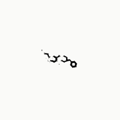 COC(=O)C(=O)c1nnc2cc(OC)c(C(=O)N3CCC(F)(Cc4ccc(F)cc4)CC3)cn12